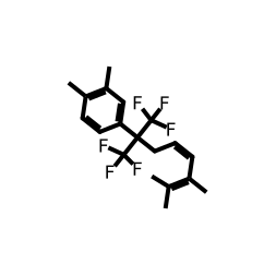 CC(C)=C(C)/C=C\CC(c1ccc(C)c(C)c1)(C(F)(F)F)C(F)(F)F